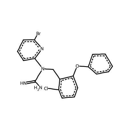 N=C(N)N(Cc1c(Cl)cccc1Oc1ccccc1)c1cccc(Br)n1